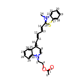 CC(=O)OCCN1C=C\C(=C/C=C/C=C/c2sc3ccccc3[n+]2C)c2ccccc21